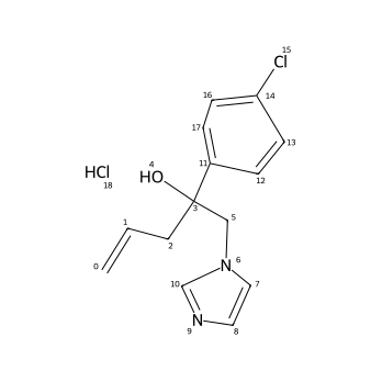 C=CCC(O)(Cn1ccnc1)c1ccc(Cl)cc1.Cl